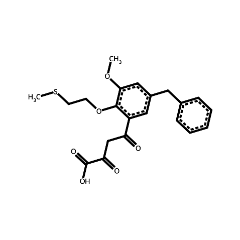 COc1cc(Cc2ccccc2)cc(C(=O)CC(=O)C(=O)O)c1OCCSC